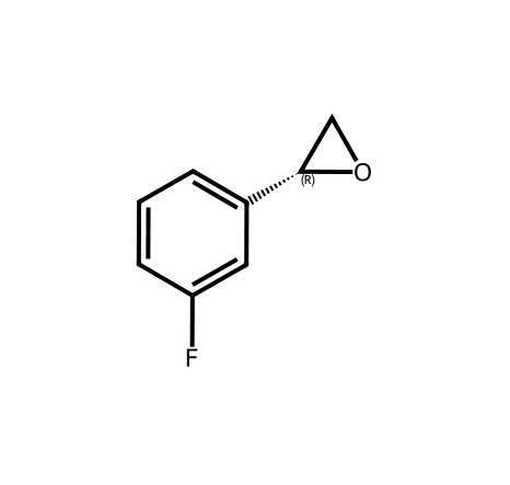 Fc1cccc([C@@H]2CO2)c1